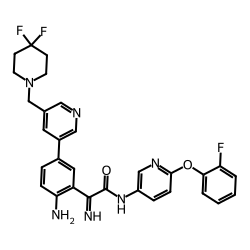 N=C(C(=O)Nc1ccc(Oc2ccccc2F)nc1)c1cc(-c2cncc(CN3CCC(F)(F)CC3)c2)ccc1N